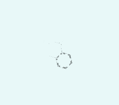 CN(C)c1ccc[c]c1F